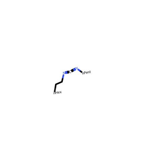 CCCCCCCCN=C=NCCCCC